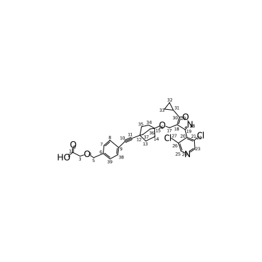 O=C(O)COCc1ccc(C#CC23CCC(OCc4c(-c5c(Cl)cncc5Cl)noc4C4CC4)(CC2)CC3)cc1